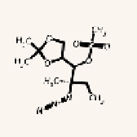 CC[C@@](C)(N=[N+]=[N-])[C@H](OS(C)(=O)=O)C1COC(C)(C)O1